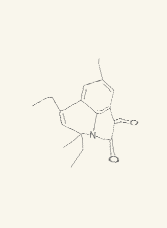 CCC1=CC(C)(CC)N2C(=O)C(=O)c3cc(C)cc1c32